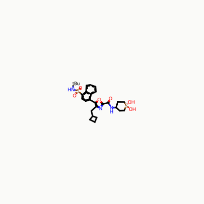 CC(C)(C)NS(=O)(=O)c1ccc(-c2oc(C(=O)NC3CCS(O)(O)CC3)nc2CC2CCC2)c2ccccc12